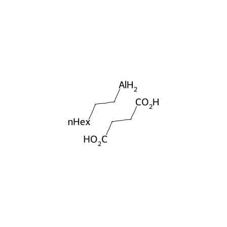 CCCCCCC[CH2][AlH2].O=C(O)CCC(=O)O